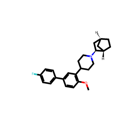 COc1ccc(-c2ccc(F)cc2)cc1C1CCN([C@H]2C[C@H]3CC[C@H]2C3)CC1